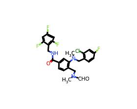 CN(C=O)Cc1ccc(C(=O)NCc2c(F)cc(F)cc2F)cc1N(C)Cc1ccc(F)cc1Cl